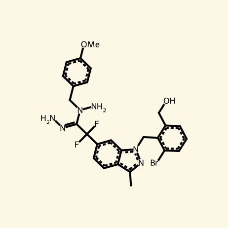 COc1ccc(CN(N)/C(=N\N)C(F)(F)c2ccc3c(C)nn(Cc4c(Br)cccc4CO)c3c2)cc1